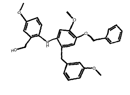 COc1cccc(Cc2cc(OCc3ccccc3)c(OC)cc2Nc2ccc(OC)cc2CO)c1